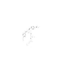 CN(CCCN)CC(=O)NCC(=O)N1C/C(=C\c2ccc(C#N)cc2)C(=O)/C(=C/c2ccc(C#N)cc2)C1